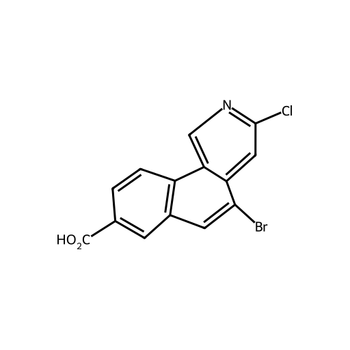 O=C(O)c1ccc2c(c1)cc(Br)c1cc(Cl)ncc12